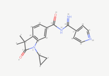 CC1(C)C(=O)N(C2CC2)c2cc(C(=O)NC(=N)c3ccncc3)ccc21